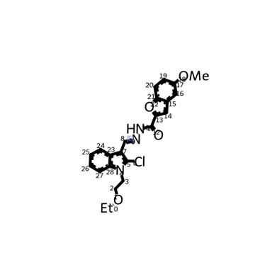 CCOCCn1c(Cl)c(/C=N/NC(=O)c2cc3cc(OC)ccc3o2)c2ccccc21